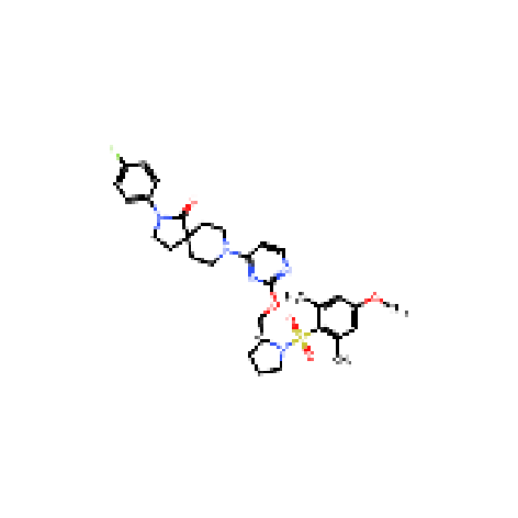 COc1cc(C)c(S(=O)(=O)N2CCC[C@H]2COc2nccc(N3CCC4(CC3)CCN(c3ccc(F)cc3)C4=O)n2)c(C)c1